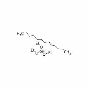 CCCCCCCCCCCCC.CCO[SiH](OCC)OCC